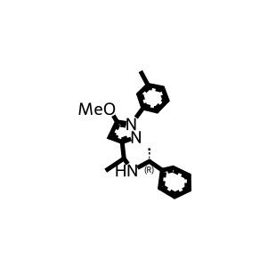 COc1cc(C(C)N[C@H](C)c2ccccc2)nn1-c1cccc(C)c1